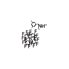 CC[NH+](CC)Cc1cc(C)cc(C)c1.Fc1c(F)c(F)c([B-](c2c(F)c(F)c(F)c(F)c2F)(c2c(F)c(F)c(F)c(F)c2F)c2c(F)c(F)c(F)c(F)c2F)c(F)c1F